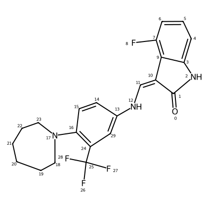 O=C1Nc2cccc(F)c2C1=CNc1ccc(N2CCCCCC2)c(C(F)(F)F)c1